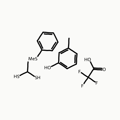 CC(S)S.CSc1ccccc1.Cc1cccc(O)c1.O=C(O)C(F)(F)F